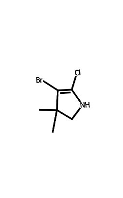 CC1(C)CNC(Cl)=C1Br